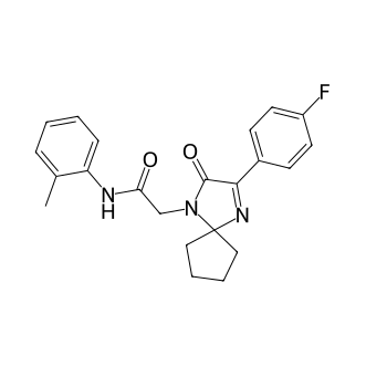 Cc1ccccc1NC(=O)CN1C(=O)C(c2ccc(F)cc2)=NC12CCCC2